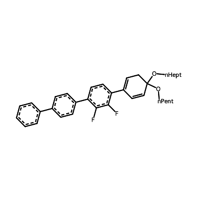 CCCCCCCOC1(OCCCCC)C=CC(c2ccc(-c3ccc(-c4ccccc4)cc3)c(F)c2F)=CC1